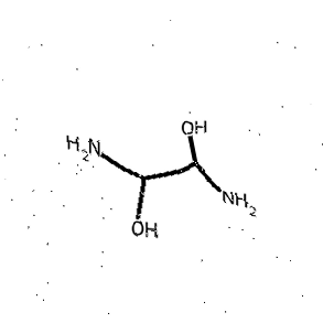 NC(O)C(N)O